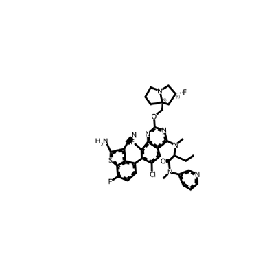 CCC(C(=O)N(C)c1cccnc1)N(C)c1nc(OC[C@@]23CCCN2C[C@H](F)C3)nc2c(F)c(-c3ccc(F)c4sc(N)c(C#N)c34)c(Cl)cc12